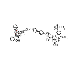 Cc1ncsc1-c1ccc([C@H](C)NC(=O)[C@@H]2C[C@@H](O)CN2C(=O)[C@@H](c2cc(-c3ccc(N4CCN(CCO[C@H]5C[C@H](Oc6cc(N7C8CCC7CN(c7cc(-c9ccccc9O)nnc7N)C8)ccn6)C5)CC4)nc3)no2)C(C)C)cc1